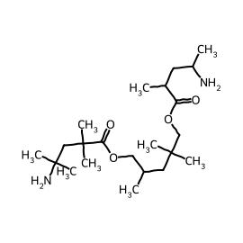 CC(N)CC(C)C(=O)OCC(C)(C)CC(C)COC(=O)C(C)(C)CC(C)(C)N